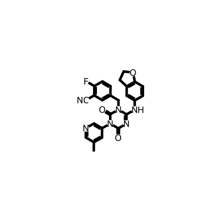 Cc1cncc(-n2c(=O)nc(Nc3ccc4c(c3)CCO4)n(Cc3ccc(F)c(C#N)c3)c2=O)c1